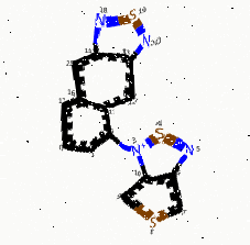 c1cc([N+]2=S=Nc3cscc32)c2cc3c(cc2c1)N=S=N3